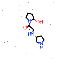 O=C(CN[C@@H]1CCNC1)N1CCC[C@H]1O